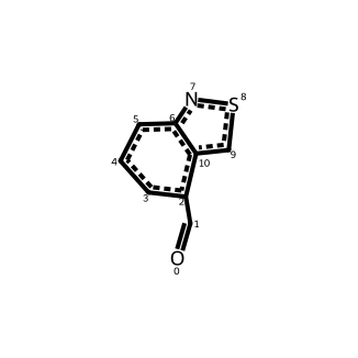 O=Cc1cccc2nscc12